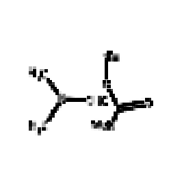 CN(C)C=O.CNC(=O)OC(C)(C)C